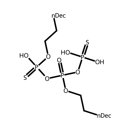 CCCCCCCCCCCCOP(=O)(OP(O)(O)=S)OP(O)(=S)OCCCCCCCCCCCC